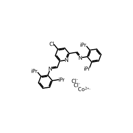 CC(C)c1cccc(C(C)C)c1N=Cc1cc(Cl)cc(C=Nc2c(C(C)C)cccc2C(C)C)n1.[Cl-].[Cl-].[Co+2]